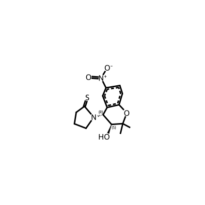 CC1(C)Oc2ccc([N+](=O)[O-])cc2[C@@H](N2CCCC2=S)[C@@H]1O